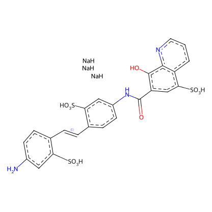 Nc1ccc(/C=C/c2ccc(NC(=O)c3cc(S(=O)(=O)O)c4cccnc4c3O)cc2S(=O)(=O)O)c(S(=O)(=O)O)c1.[NaH].[NaH].[NaH]